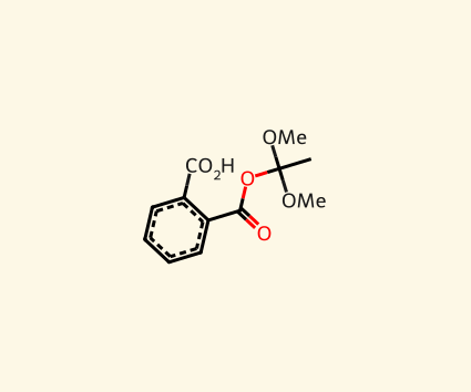 COC(C)(OC)OC(=O)c1ccccc1C(=O)O